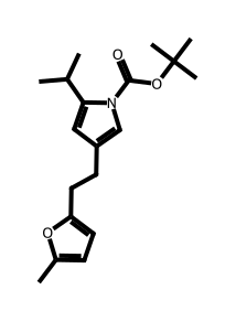 Cc1ccc(CCc2cc(C(C)C)n(C(=O)OC(C)(C)C)c2)o1